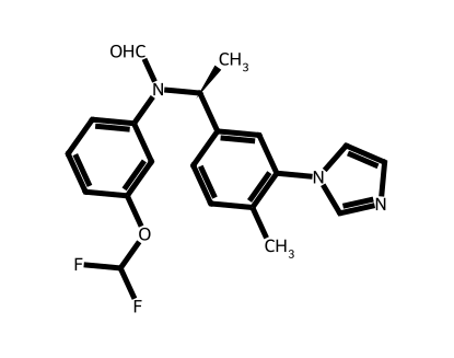 Cc1ccc([C@H](C)N(C=O)c2cccc(OC(F)F)c2)cc1-n1ccnc1